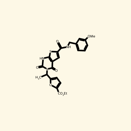 CCOC(=O)c1ccc(C(C)n2c(=O)[nH]c3sc(C(=O)NCc4cccc(OC)c4)cc3c2=O)o1